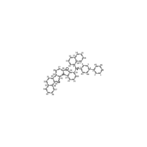 c1ccc(-c2ccc(N(c3cccc4ccccc34)c3cccc4c3oc3ccc5c6ccc7ccccc7c6sc5c34)cc2)cc1